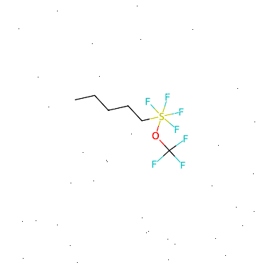 CCCCCS(F)(F)(F)(F)OC(F)(F)F